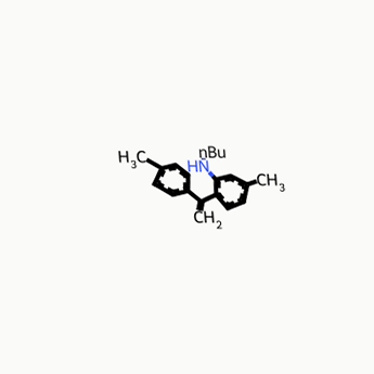 C=C(c1ccc(C)cc1)c1ccc(C)cc1NCCCC